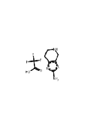 Nc1nc2c(s1)CNCC2.O=C(O)C(F)(F)F